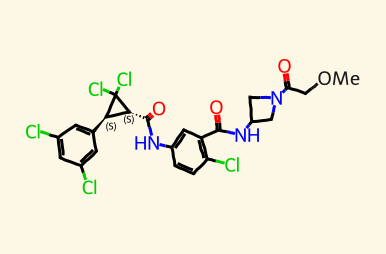 COCC(=O)N1CC(NC(=O)c2cc(NC(=O)[C@@H]3[C@@H](c4cc(Cl)cc(Cl)c4)C3(Cl)Cl)ccc2Cl)C1